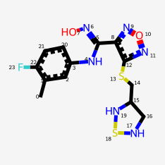 Cc1cc(N/C(=N\O)c2nonc2SCC2CNSN2)ccc1F